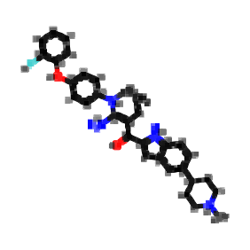 C=C/C(C(=O)c1cc2cc(C3CCN(C(C)C)CC3)ccc2[nH]1)=C(/N)N(CCCC)c1ccc(Oc2ccccc2F)cc1